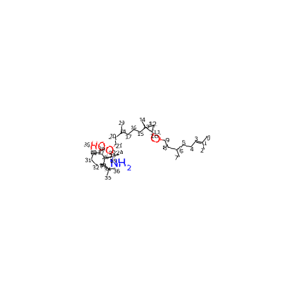 CC(C)=CCCC(C)CCOC1CC1(C)CCCC(C)CCOC(C)(N)C1C(O)[C@@H](C)CC[C@@H]1C(C)C